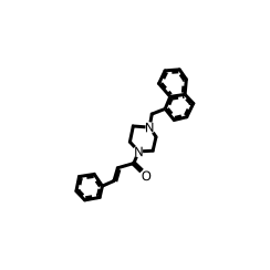 O=C(/C=C/c1ccccc1)N1CCN(Cc2cccc3ccccc23)CC1